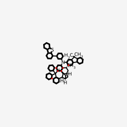 C[C@H]1C[C@@H]2C[C@@H]3C[C@H](C1)C21c2cc(N(c4cccc(-c5cccc6c5sc5ccccc56)c4)c4ccc5c(c4)C(C)(C)c4ccccc4-5)ccc2C(c2ccccc2)(c2ccccc2)c2ccccc2[C@H]31